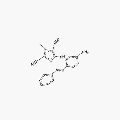 Cc1c(C#N)sc(N)c1C#N.Nc1ccc(N=Nc2ccccc2)cc1